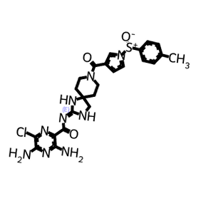 Cc1ccc([S+]([O-])n2ccc(C(=O)N3CCC4(CC3)CN/C(=N\C(=O)c3nc(Cl)c(N)nc3N)N4)c2)cc1